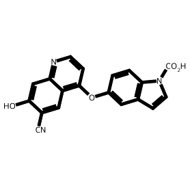 N#Cc1cc2c(Oc3ccc4c(ccn4C(=O)O)c3)ccnc2cc1O